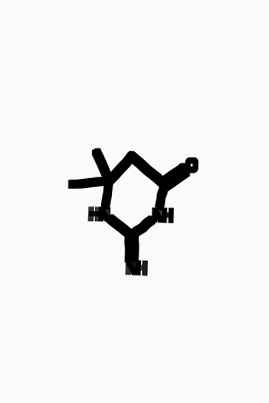 CC1(C)CC(=O)NC(=N)N1